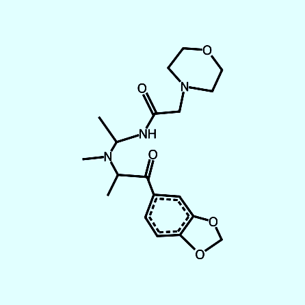 CC(NC(=O)CN1CCOCC1)N(C)C(C)C(=O)c1ccc2c(c1)OCO2